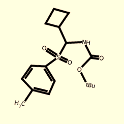 Cc1ccc(S(=O)(=O)C(NC(=O)OC(C)(C)C)C2CCC2)cc1